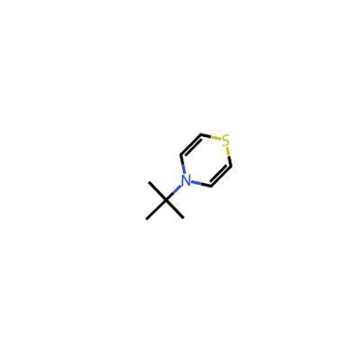 CC(C)(C)N1C=CSC=C1